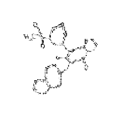 CS(=O)(=O)c1cccc(-n2c(=O)n(Cc3ccc4ccccc4n3)c(=O)c3cccnc32)c1